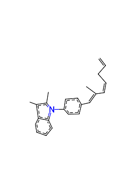 C=CC/C=C\C(C)=C\c1ccc(-n2c(C)c(C)c3ccccc32)cc1